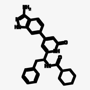 Nc1n[nH]c2cc(-c3cc(C(Cc4ccccc4)NC(=O)C4CCCCC4)[nH]c(=O)c3)ccc12